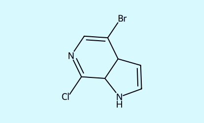 ClC1=NC=C(Br)C2C=CNC12